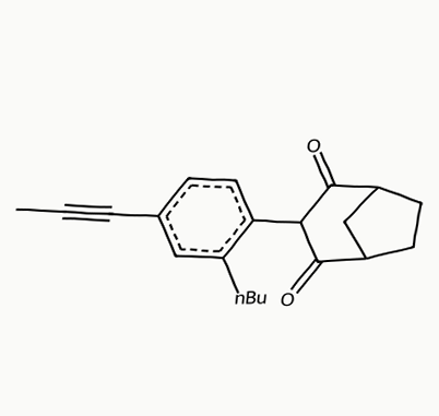 CC#Cc1ccc(C2C(=O)C3CCC(C3)C2=O)c(CCCC)c1